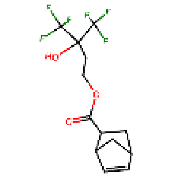 O=C(OCCC(O)(C(F)(F)F)C(F)(F)F)C1CC2C=CC1C2